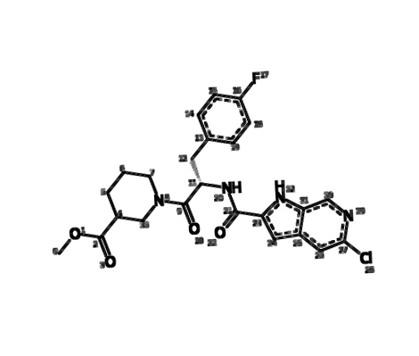 COC(=O)C1CCCN(C(=O)[C@H](Cc2ccc(F)cc2)NC(=O)c2cc3cc(Cl)ncc3[nH]2)C1